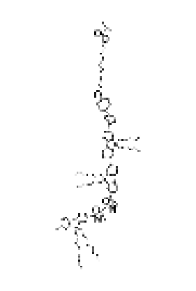 C=C(C)C(=O)OCCCCCCCCCCOc1ccc(-c2ccc(-c3ccc4c(c3)C(CCCCC)(CCCCC)c3cc(-c5ccc6c(c5)C(CCCCCC)(CCCCCC)c5cc(-c7nnc(-c8nnc(-c9ccc%10c(c9)C(CCCCCCCC)(CCCCCCCC)c9cc(C)ccc9-%10)o8)o7)ccc5-6)ccc3-4)s2)cc1